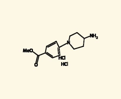 COC(=O)c1ccc(N2CCC(N)CC2)cc1.Cl.Cl